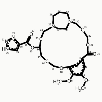 COc1cc2cc(c1OC)OCCCC(OC(=O)c1c[nH]nn1)CCN1CCCN(CCCOC2=O)CC1